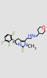 Cn1c(CCNCC2CCOCC2)c2n(c1=S)C[C@@H](c1c(F)ccc(F)c1F)C2